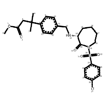 COC(=O)CC(C)(C)c1ccc(CN[C@@H]2CCCCN(S(=O)(=O)c3ccc(Cl)cc3)C2=O)cc1